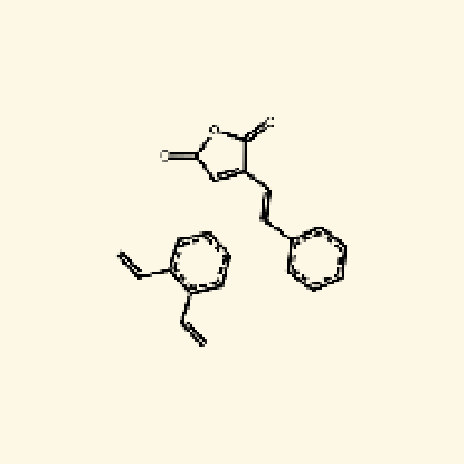 C=Cc1ccccc1C=C.O=C1C=C(C=Cc2ccccc2)C(=O)O1